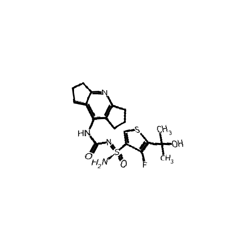 CC(C)(O)c1scc([S@](N)(=O)=NC(=O)Nc2c3c(nc4c2CCC4)CCC3)c1F